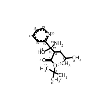 CC(C)CC(C(=O)OC(C)(C)C)[C@](N)(O)c1ccccn1